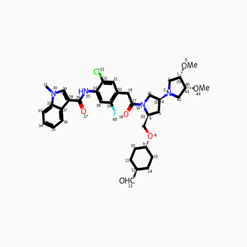 CO[C@H]1CN([C@H]2C[C@@H](CO[C@H]3CC[C@H](C=O)CC3)N(C(=O)Cc3cc(Cl)c(NC(=O)c4cn(C)c5ccccc45)cc3F)C2)C[C@H]1OC